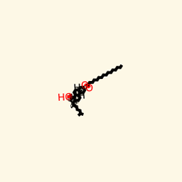 CCCCCCCCCCCCCCCC(=O)O[C@H]1CC[C@@]2(C)[C@@H](CC=C3[C@@H]2CC[C@]2(C)[C@@H]([C@H](C)CCCC(C)C)C[C@H](O)[C@@]32CC)C1